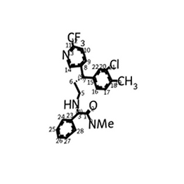 CNC(=O)[C@H](NCC[C@H](c1ccc(C(F)(F)F)nc1)c1ccc(C)c(Cl)c1)c1ccccc1